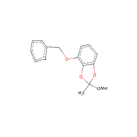 COC1(C)Oc2cccc(OCc3ccccc3)c2O1